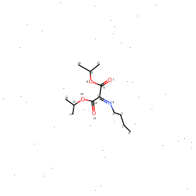 CCCCN=C(C(=O)OC(C)C)C(=O)OC(C)C